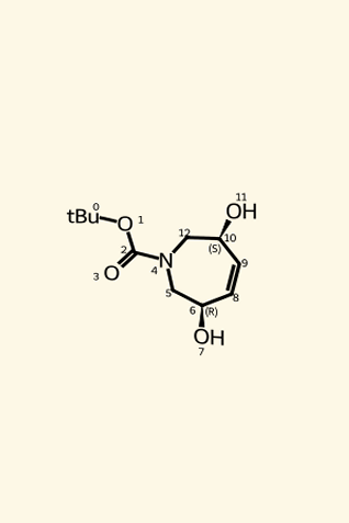 CC(C)(C)OC(=O)N1C[C@H](O)C=C[C@H](O)C1